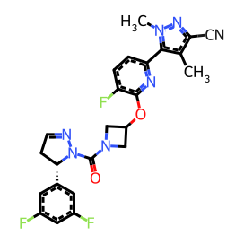 Cc1c(C#N)nn(C)c1-c1ccc(F)c(OC2CN(C(=O)N3N=CC[C@H]3c3cc(F)cc(F)c3)C2)n1